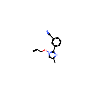 C=CCOn1cc(C)nc1-c1cccc(C#N)c1